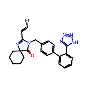 CC/C=C/C1=NC2(CCCCC2)C(=O)N1Cc1ccc(-c2ccccc2-c2nnn[nH]2)cc1